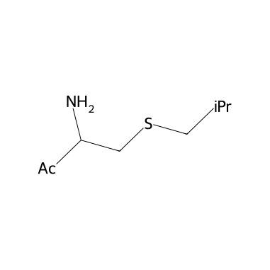 CC(=O)C(N)CSCC(C)C